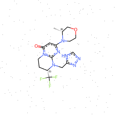 C[C@@H]1COCCN1c1cc(=O)n2c(n1)N(Cc1nnc[nH]1)[C@H](C(F)(F)F)CC2